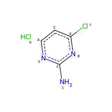 Cl.Nc1nccc(Cl)n1